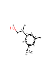 [CH2]C(CO)c1cc(C)cc(OC(C)=O)c1